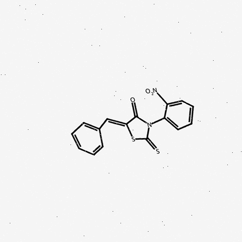 O=C1C(=Cc2ccccc2)SC(=S)N1c1ccccc1[N+](=O)[O-]